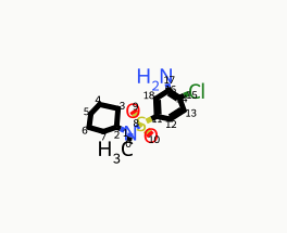 CN(C1CCCCC1)S(=O)(=O)c1ccc(Cl)c(N)c1